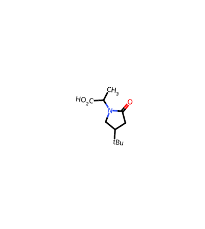 CC(C(=O)O)N1CC(C(C)(C)C)CC1=O